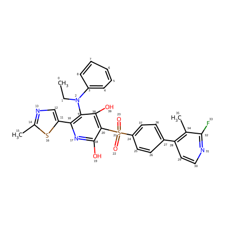 CCN(c1ccccc1)c1c(-c2cnc(C)s2)nc(O)c(S(=O)(=O)c2ccc(-c3ccnc(F)c3C)cc2)c1O